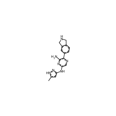 Cc1cc(Nc2cnc(-c3ccc4c(c3)CNC4)c(N)n2)n[nH]1